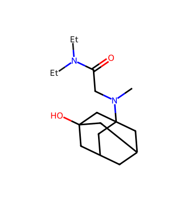 CCN(CC)C(=O)CN(C)C12CC3CC(CC(O)(C3)C1)C2